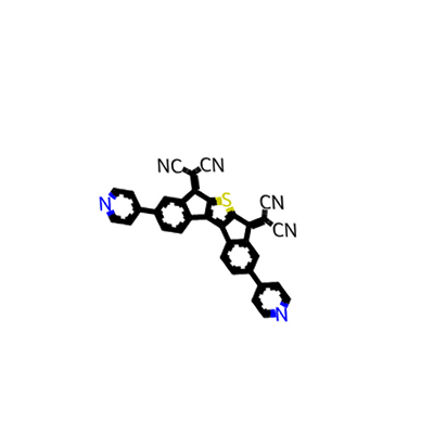 N#CC(C#N)=C1c2cc(-c3ccncc3)ccc2-c2c1sc1c2-c2ccc(-c3ccncc3)cc2C1=C(C#N)C#N